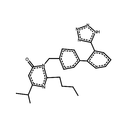 CCCCc1nc(C(C)C)cc(=O)n1Cc1ccc(-c2ccccc2-c2nnn[nH]2)cc1